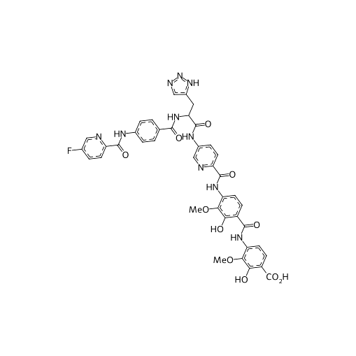 COc1c(NC(=O)c2ccc(NC(=O)c3ccc(NC(=O)C(Cc4cnn[nH]4)NC(=O)c4ccc(NC(=O)c5ccc(F)cn5)cc4)cn3)c(OC)c2O)ccc(C(=O)O)c1O